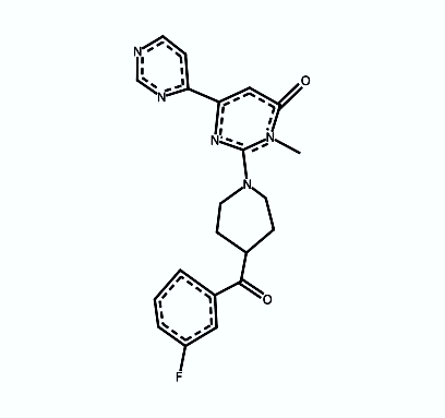 Cn1c(N2CCC(C(=O)c3cccc(F)c3)CC2)nc(-c2ccncn2)cc1=O